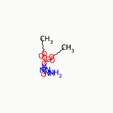 CCCCCCCCOC(=O)OCC(COC(=O)OCCCCCCCC)OCn1cnc2c(=O)[nH]c(N)nc21